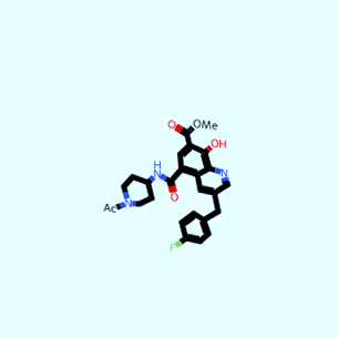 COC(=O)c1cc(C(=O)NC2CCN(C(C)=O)CC2)c2cc(Cc3ccc(F)cc3)cnc2c1O